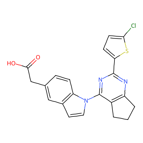 O=C(O)Cc1ccc2c(ccn2-c2nc(-c3ccc(Cl)s3)nc3c2CCC3)c1